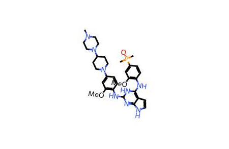 COc1cc(P(C)(C)=O)ccc1NC1=c2cc[nH]c2=NC(Nc2ccc(N3CCC(N4CCN(C)CC4)CC3)cc2OC)N1